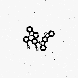 N#Cc1cc(-c2c(C#N)cccc2-n2c3ccccc3c3ccccc32)ccc1-n1c2ccccc2c2cc3c(cc21)oc1ccccc13